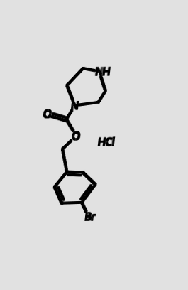 Cl.O=C(OCc1ccc(Br)cc1)N1CCNCC1